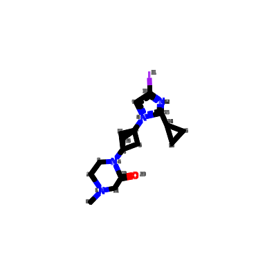 CN1CCN(C23CC(n4cc(I)nc4C4CC4)(C2)C3)C(=O)C1